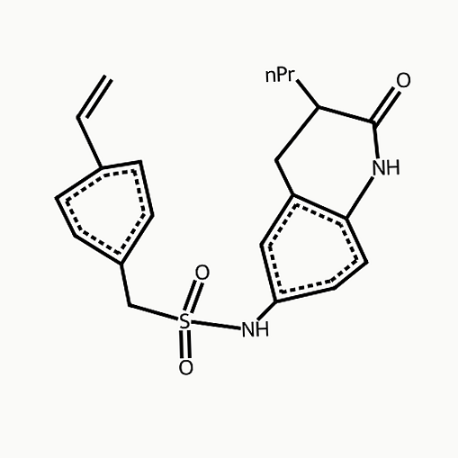 C=Cc1ccc(CS(=O)(=O)Nc2ccc3c(c2)CC(CCC)C(=O)N3)cc1